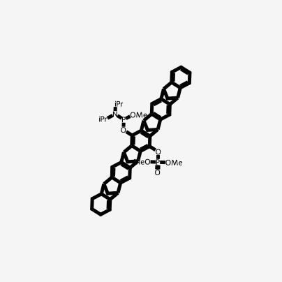 COP(Oc1c2c(c(OP(=O)(OC)OC)c3c1C1CC3c3cc4c(cc31)C1CC4c3ccccc31)C1CC2c2cc3c(cc21)C1CC3C2CCCC=C12)N(C(C)C)C(C)C